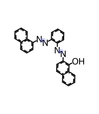 Oc1c(/N=N/c2ccccc2/N=N/c2cccc3ccccc23)ccc2ccccc12